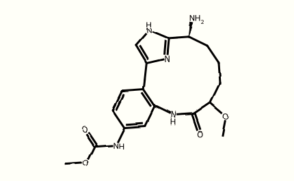 COC(=O)Nc1ccc2c(c1)NC(=O)C(OC)CCC[C@H](N)c1nc-2c[nH]1